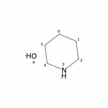 C1CCNCC1.[OH]